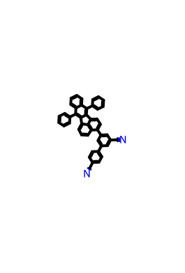 N#Cc1ccc(-c2cc(C#N)cc(-c3ccc4c5c(cccc35)-c3c-4c(-c4ccccc4)c4ccccc4c3-c3ccccc3)c2)cc1